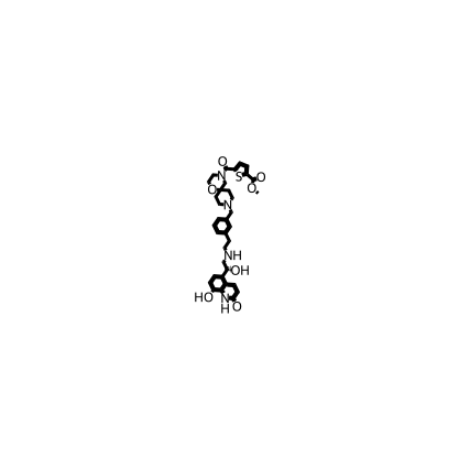 COC(=O)c1ccc(C(=O)N2CCOC3(CCN(Cc4cccc(CCNC[C@H](O)c5ccc(O)c6[nH]c(=O)ccc56)c4)CC3)C2)s1